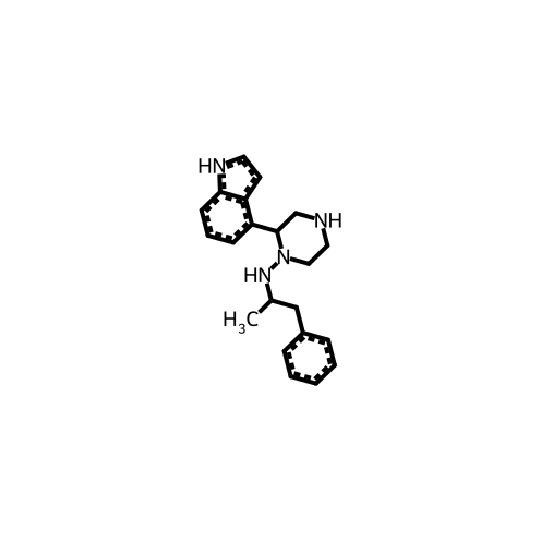 CC(Cc1ccccc1)NN1CCNCC1c1cccc2[nH]ccc12